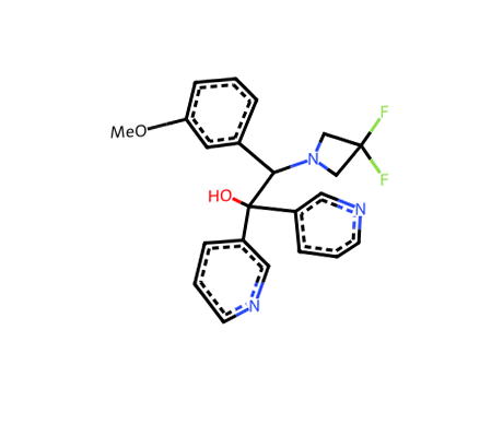 COc1cccc(C(N2CC(F)(F)C2)C(O)(c2cccnc2)c2cccnc2)c1